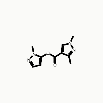 Cc1nn(C)cc1C(=O)Oc1ccnn1C